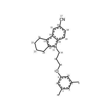 Cc1cc(C)cc(OCCCn2c3c(c4cc(C#N)ccc42)CCCC3)c1